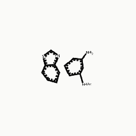 CC(=O)Nc1cccc(N)c1.c1ccc2scnc2c1